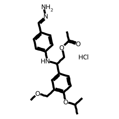 COCc1cc(C(COC(C)=O)Nc2ccc(C=NN)cc2)ccc1OC(C)C.Cl